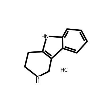 Cl.c1ccc2c3c([nH]c2c1)CCNC3